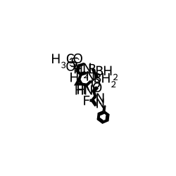 BC(B)(B)N1C(=O)[C@@H](NC(=O)c2nn(Cc3ccccc3)cc2F)[C@H]2C[C@H]2c2cc(S(C)(=O)=O)cnc21